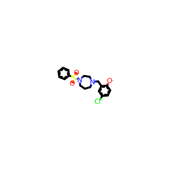 [O]c1ccc(Cl)cc1CN1CCCN(S(=O)(=O)c2ccccc2)CC1